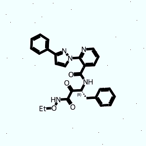 CCONC(=O)C(=O)[C@@H](Cc1ccccc1)NC(=O)c1cccnc1-n1ccc(-c2ccccc2)n1